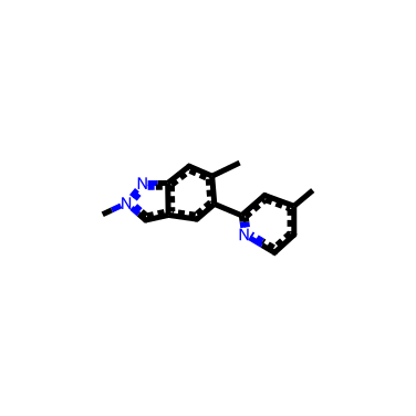 Cc1ccnc(-c2cc3cn(C)nc3cc2C)c1